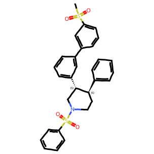 CS(=O)(=O)c1cccc(-c2cccc([C@H]3CN(S(=O)(=O)c4ccccc4)CC[C@@H]3c3ccccc3)c2)c1